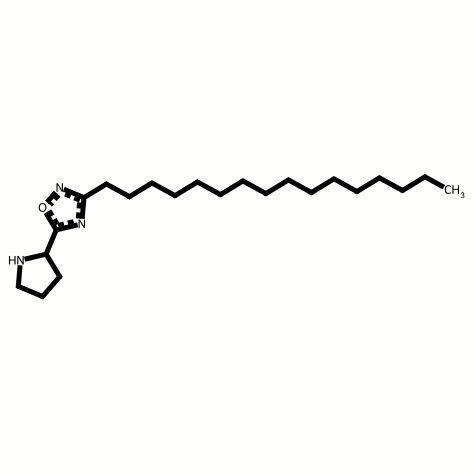 CCCCCCCCCCCCCCCCc1noc(C2CCCN2)n1